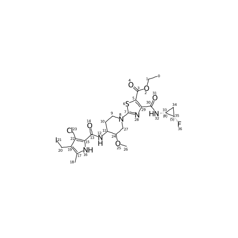 CCOC(=O)c1sc(N2CCC(NC(=O)c3[nH]c(C)c(CI)c3Cl)C(OC)C2)nc1C(=O)N[C@@H]1C[C@@H]1F